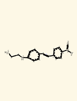 CCCNc1ccc(/C=C/c2ccc([N+](=O)[O-])cc2)cc1